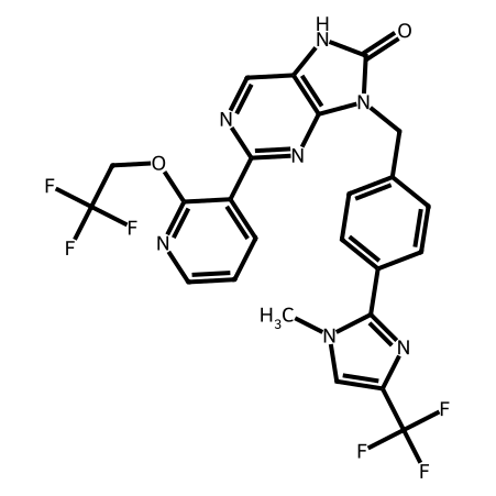 Cn1cc(C(F)(F)F)nc1-c1ccc(Cn2c(=O)[nH]c3cnc(-c4cccnc4OCC(F)(F)F)nc32)cc1